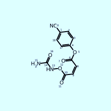 N#Cc1ccc(OC(=O)/C=C\C(=O)ONC(N)=O)cc1